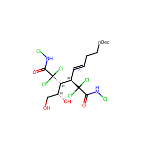 CCCCCCCCCCCC/C=C/[C@H]([C@H]([C@H](O)CO)C(Cl)(Cl)C(=O)NCl)C(Cl)(Cl)C(=O)NCl